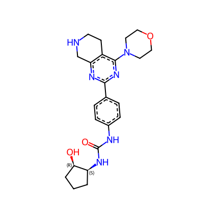 O=C(Nc1ccc(-c2nc3c(c(N4CCOCC4)n2)CCNC3)cc1)N[C@H]1CCC[C@H]1O